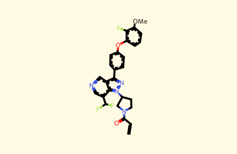 C=CC(=O)N1CCC(n2nc(-c3ccc(Oc4cccc(OC)c4F)cc3)c3cncc(C(F)F)c32)C1